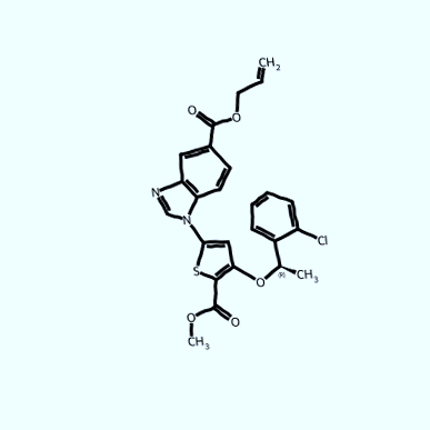 C=CCOC(=O)c1ccc2c(c1)ncn2-c1cc(O[C@H](C)c2ccccc2Cl)c(C(=O)OC)s1